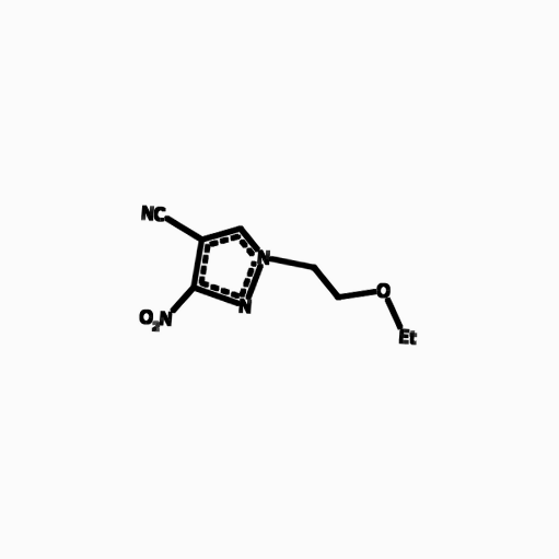 CCOCCn1cc(C#N)c([N+](=O)[O-])n1